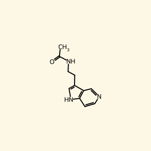 CC(=O)NCCc1c[nH]c2ccncc12